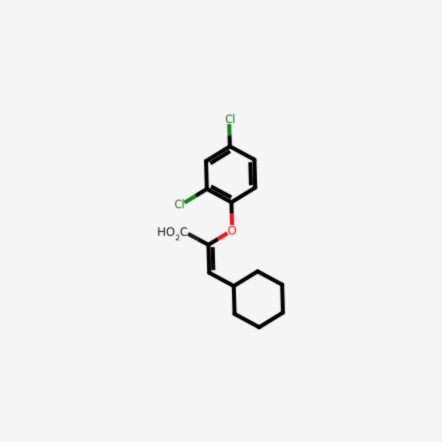 O=C(O)C(=CC1CCCCC1)Oc1ccc(Cl)cc1Cl